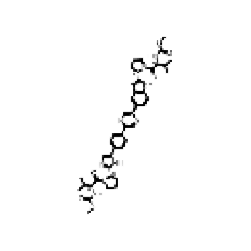 COC(=O)N[C@H](C(=O)N1CCC[C@H]1c1ncc(-c2ccc(-c3cnc(-c4ccc5[nH]c([C@@H]6CCCN6C(=O)[C@@H](NC(=O)OC)C(C)C)nc5c4)cn3)cc2)[nH]1)C(C)C